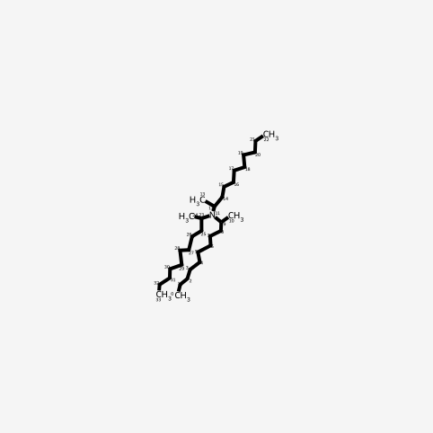 CCCCCCCCCC(C)N(C(C)CCCCCCCCC)C(C)CCCCCCCCC